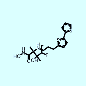 CC(NCCCc1ccc(-c2cccs2)s1)(C(=O)NO)C(C)(O)C(F)F